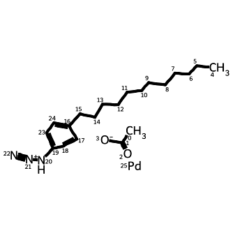 CC(=O)[O-].CCCCCCCCCCCCc1ccc(N[N+]#N)cc1.[Pd]